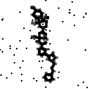 CC(C)(CC(=O)N1CC[C@](O)(c2ccc(Cl)cc2)C(C)(C)C1)NC(=O)c1cccc(-c2nnn(COCc3ccccc3)n2)c1